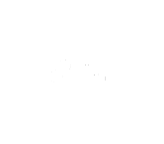 COCC([C]=O)Cc1cccc2ccccc12